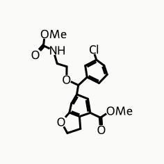 COC(=O)NCCOC(c1cccc(Cl)c1)c1cc2c(c(C(=O)OC)c1)CCO2